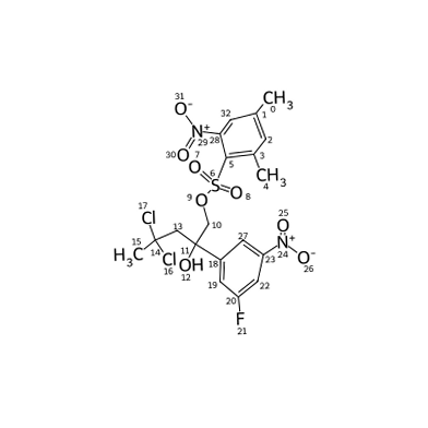 Cc1cc(C)c(S(=O)(=O)OCC(O)(CC(C)(Cl)Cl)c2cc(F)cc([N+](=O)[O-])c2)c([N+](=O)[O-])c1